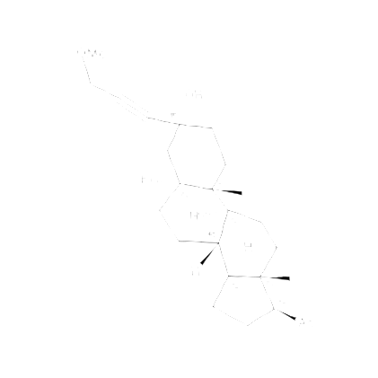 COCC#C[C@@]1(O)CC[C@@]2(C)[C@@H](CC[C@@H]3[C@@H]2CC[C@]2(C)[C@@H](C(C)=O)CC[C@@H]32)C1